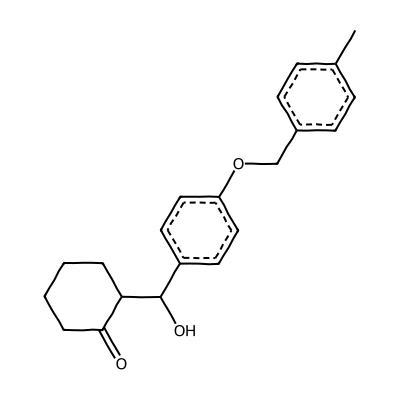 Cc1ccc(COc2ccc(C(O)C3CCCCC3=O)cc2)cc1